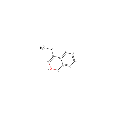 CCC1=COCc2ccccc21